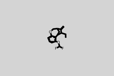 C=C1C2COc3cccc(OC(F)F)c3C(C2)C1CC